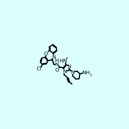 CC#CCn1c(N2CCCC(N)C2)nc(NC)c1C(=O)NCC1=Nc2ccccc2Oc2ccc(Cl)cc21